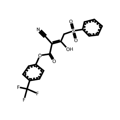 N#C/C(C(=O)Oc1ccc(C(F)(F)F)cc1)=C(/O)CS(=O)(=O)c1ccccc1